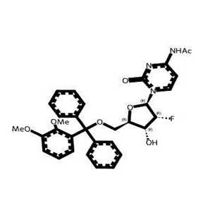 COc1cccc(C(OC[C@H]2O[C@@H](n3ccc(NC(C)=O)nc3=O)[C@H](F)[C@@H]2O)(c2ccccc2)c2ccccc2)c1OC